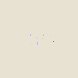 CCN(O)CC1=C(N2CCCC2=O)c2cc(C#N)ccc2OC1(C)C